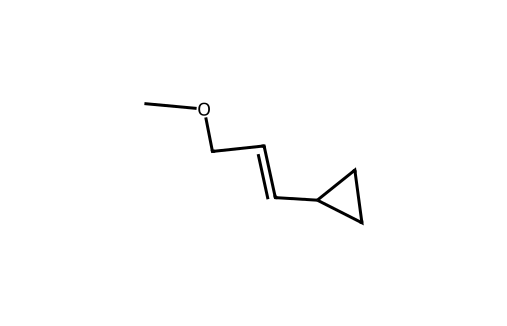 COC/C=C/C1CC1